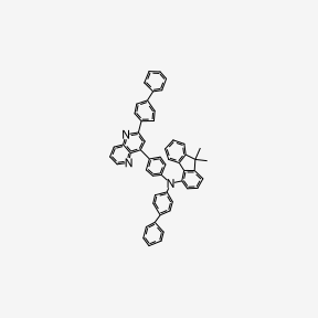 CC1(C)c2ccccc2-c2c(N(c3ccc(-c4ccccc4)cc3)c3ccc(-c4cc(-c5ccc(-c6ccccc6)cc5)nc5cccnc45)cc3)cccc21